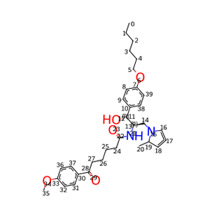 CCCCCCOc1ccc([C@@H](O)[C@@H](CN2C=C=CC2C)NC(=O)CCCCC(=O)c2ccc(OC)cc2)cc1